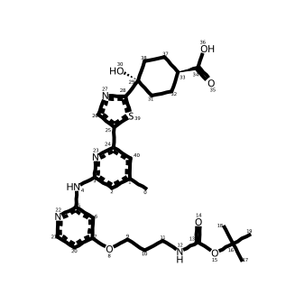 Cc1cc(Nc2cc(OCCCNC(=O)OC(C)(C)C)ccn2)nc(-c2cnc([C@]3(O)CC[C@H](C(=O)O)CC3)s2)c1